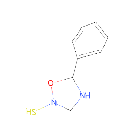 SN1CNC(c2ccccc2)O1